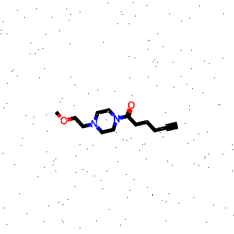 C#CCCCC(=O)N1CCN(CCOC)CC1